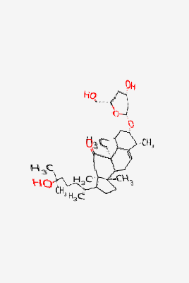 C[C@H](CCCC(C)(C)O)C1CC[C@@]2(C)C3CC=C4C(CC[C@H](O[C@H]5C[C@@H](O)C[C@@H](CO)O5)[C@@H]4C)[C@]3(C)C(=O)C[C@]12C